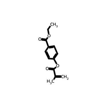 C=C(C)C(=O)Oc1ccc(C(=O)OCC)cc1